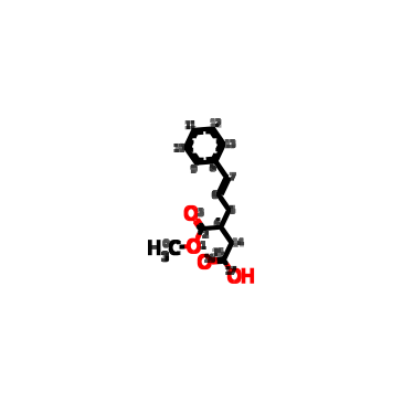 COC(=O)C(C/C=C/c1ccccc1)CC(=O)O